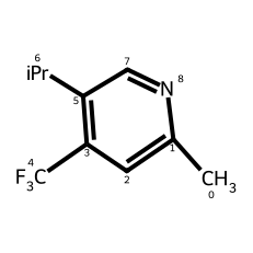 Cc1cc(C(F)(F)F)c(C(C)C)cn1